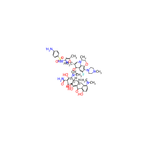 CC1COc2c(N3CCN(C)CC3)c(F)cc3c(=O)c(C(=O)O)cn1c23.CN(C)c1ccc(O)c2c1C[C@H]1C[C@H]3[C@H](N(C)C)C(O)=C(C(N)=O)C(=O)[C@@]3(O)C(O)=C1C2=O.Cc1cc(NS(=O)(=O)c2ccc(N)cc2)no1